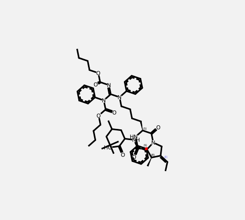 C/C=C1/CN(C(=O)[C@H](CCCCN(C(=NC(=O)OCCCC)N(C(=O)OCCCC)c2ccccc2)c2ccccc2)Nc2ccccc2)[C@H](C(=O)NC(CC(C)CC(C)(C)C)C(=O)O)[C@@H]1C